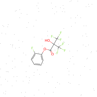 O=C(Oc1ccccc1F)C(O)(C(F)(F)F)C(F)(F)F